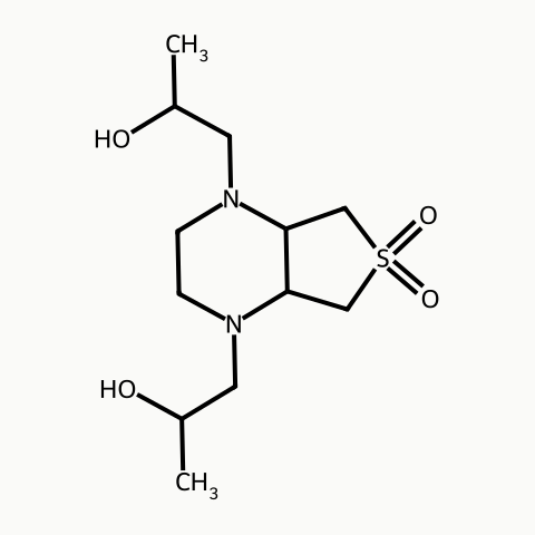 CC(O)CN1CCN(CC(C)O)C2CS(=O)(=O)CC21